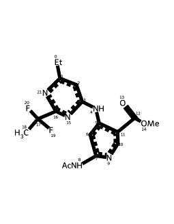 CCc1cc(Nc2cc(NC(C)=O)ncc2C(=O)OC)nc(C(C)(F)F)n1